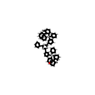 c1ccc(-c2nc(-c3cccc([Si](c4ccccc4)(c4ccccc4)c4cccc5sc6ccccc6c45)c3)nc(-c3cccc([Si](c4ccccc4)(c4ccccc4)c4cccc5sc6ccccc6c45)c3)n2)cc1